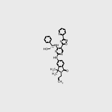 C=CCN1C(=O)c2ccc(Nc3ncc(-c4nc(-c5ccccn5)no4)c(N[C@H](CO)c4ccccc4)n3)cc2C1(C)C